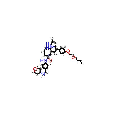 CCCCOCCOc1ccc(C2=CN(CC(C)C)C3NCCC/C(C(=O)Nc4ccc(CN(C)C5CCOCC5)cc4)=C\C3=C2)cc1